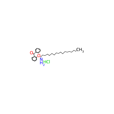 CCCCCCCCCCCCCCCCCC(N)Oc1ccccc1C(=O)c1ccccc1.Cl